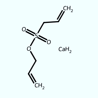 C=CCOS(=O)(=O)CC=C.[CaH2]